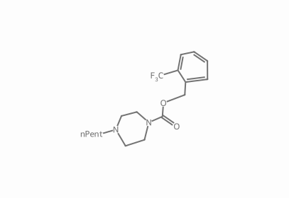 CCCCCN1CCN(C(=O)OCc2ccccc2C(F)(F)F)CC1